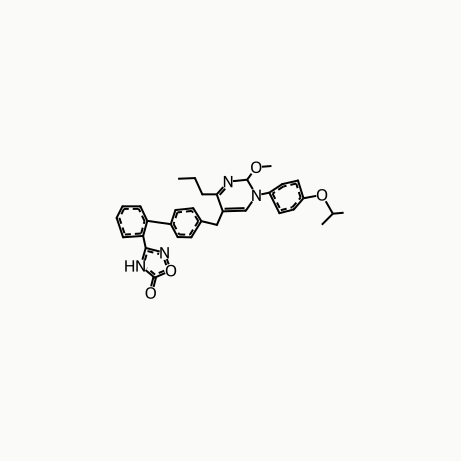 CCCC1=NC(OC)N(c2ccc(OC(C)C)cc2)C=C1Cc1ccc(-c2ccccc2-c2noc(=O)[nH]2)cc1